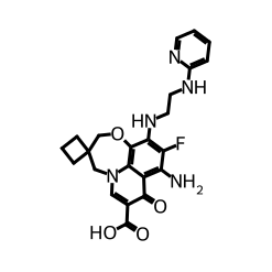 Nc1c(F)c(NCCNc2ccccn2)c2c3c1c(=O)c(C(=O)O)cn3CC1(CCC1)CO2